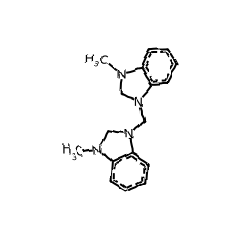 CN1CN(CN2CN(C)c3ccccc32)c2ccccc21